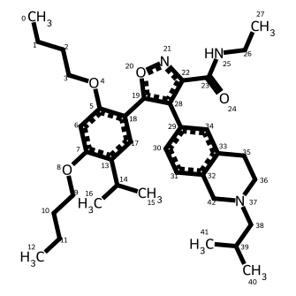 CCCCOc1cc(OCCCC)c(C(C)C)cc1-c1onc(C(=O)NCC)c1-c1ccc2c(c1)CCN(CC(C)C)C2